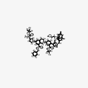 COCCOC12CC3(C)CC(C)(CC(Cn4ncc(-c5ccc(N6CCc7cc(N8CCC(NC(=O)OC(C)(C)C)C8)cc(C(=O)OCc8ccccc8)c7C6)nc5C(=O)OC(C)(C)C)c4C)(C3)C1)C2